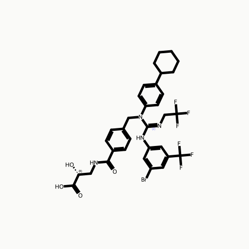 O=C(NC[C@@H](O)C(=O)O)c1ccc(CN(/C(=N\CC(F)(F)F)Nc2cc(Br)cc(C(F)(F)F)c2)c2ccc(C3CCCCC3)cc2)cc1